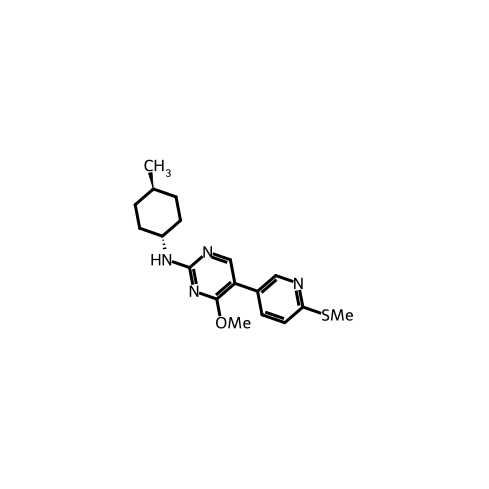 COc1nc(N[C@H]2CC[C@H](C)CC2)ncc1-c1ccc(SC)nc1